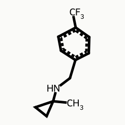 CC1(NCc2ccc(C(F)(F)F)cc2)CC1